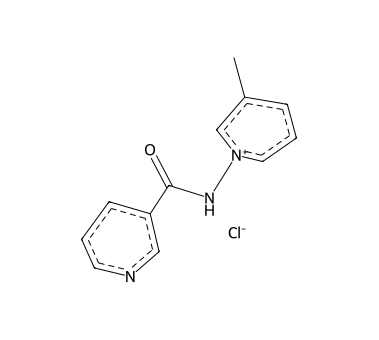 Cc1ccc[n+](NC(=O)c2cccnc2)c1.[Cl-]